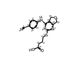 N#Cc1ccc(Nc2nc(SCCCC(=O)O)nc3c2COC3)cc1